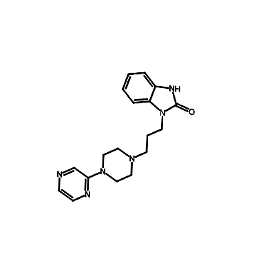 O=c1[nH]c2ccccc2n1CCCN1CCN(c2cnccn2)CC1